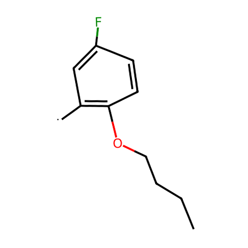 [CH2]c1cc(F)ccc1OCCCC